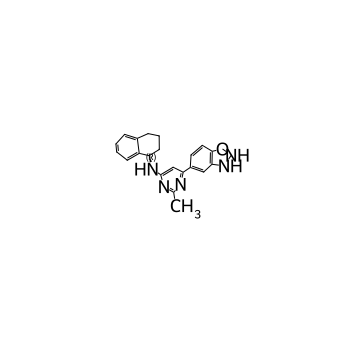 Cc1nc(N[C@@H]2CCCc3ccccc32)cc(-c2ccc3c(c2)NNO3)n1